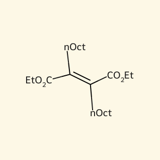 CCCCCCCCC(C(=O)OCC)=C(CCCCCCCC)C(=O)OCC